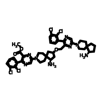 COC(=O)c1nc(N2CCC3(CC2)CC(OCc2nc(N4CCC5(CCC[C@H]5N)CC4)cnc2-c2cccc(Cl)c2Cl)C[C@H]3N)cnc1-c1cccc(Cl)c1Cl